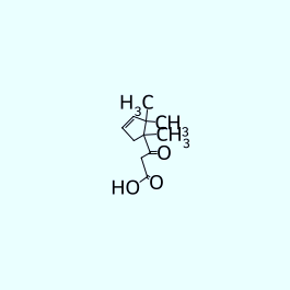 CC1(C)C=CCC1(C)C(=O)CC(=O)O